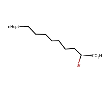 CCCCCCCCCCCCCC[C@H](Br)C(=O)O